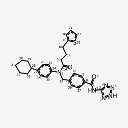 O=C(Nc1nn[nH]n1)c1ccc(CN(C(=O)CCCc2cccs2)c2ccc(C3CCCCC3)cc2)cc1